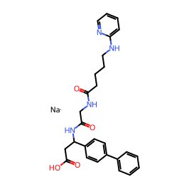 O=C(O)CC(NC(=O)CNC(=O)CCCCNc1ccccn1)c1ccc(-c2ccccc2)cc1.[Na]